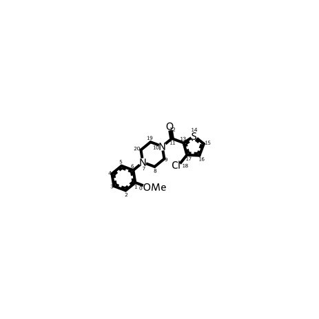 COc1ccccc1N1CCN(C(=O)c2sccc2Cl)CC1